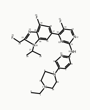 CCN1CCN(c2ccc(Nc3ncc(F)c(-c4cc(F)c5nc(CF)n(C(C)C)c5c4)n3)nc2)CC1